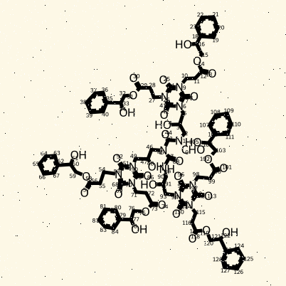 O=CN(CC(O)Cn1c(=O)n(CCC(=O)OCC(O)c2ccccc2)c(=O)n(CCC(=O)OCC(O)c2ccccc2)c1=O)C(=O)N(CC(O)Cn1c(=O)n(CCC(=O)OCC(O)c2ccccc2)c(=O)n(CCC(=O)OCC(O)c2ccccc2)c1=O)C(=O)NCC(O)Cn1c(=O)n(CCC(=O)OCC(O)c2ccccc2)c(=O)n(CCC(=O)OCC(O)c2ccccc2)c1=O